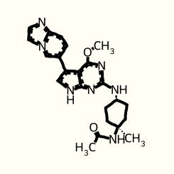 COc1nc(N[C@H]2CC[C@](C)(NC(C)=O)CC2)nc2[nH]cc(-c3ccc4nccn4c3)c12